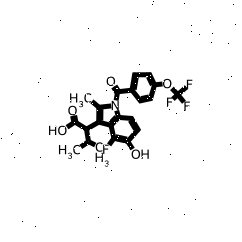 Cc1c(C(C(=O)O)C(C)C)c2c(F)c(O)ccc2n1C(=O)c1ccc(OC(F)(F)F)cc1